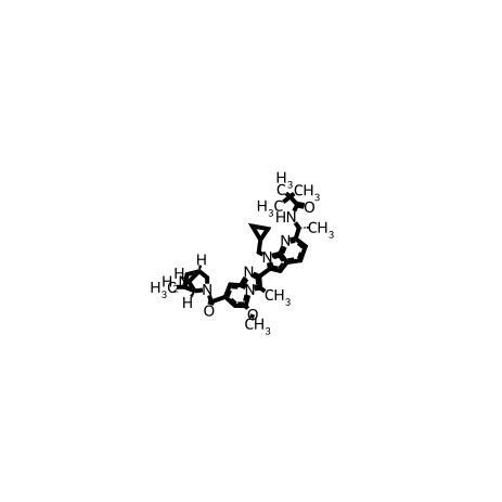 COc1cc(C(=O)N2C[C@H]3CC(C)[C@@H]2[C@@H]3N)cc2nc(-c3cc4ccc([C@@H](C)NC(=O)C(C)(C)C)nc4n3CC3CC3)c(C)n12